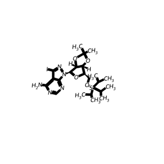 CC(C)[Si](OC[C@H]1O[C@@H](n2nc(I)c3c(N)ncnc32)[C@@H]2OC(C)(C)O[C@@H]21)(C(C)C)C(C)C